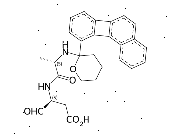 C[C@H](NC1(c2cccc3c2-c2c-3ccc3ccccc23)CCCCO1)C(=O)N[C@H](C=O)CC(=O)O